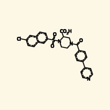 O=C(O)C1CN(C(=O)c2ccc(-c3ccncc3)cc2)CCN1S(=O)(=O)c1ccc2cc(Cl)ccc2c1